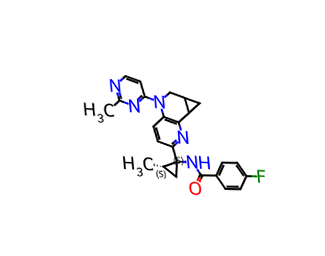 Cc1nccc(N2CC3CC3c3nc([C@]4(NC(=O)c5ccc(F)cc5)C[C@@H]4C)ccc32)n1